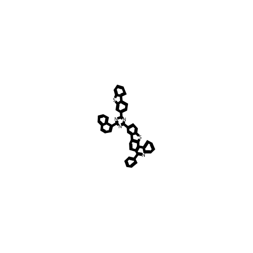 c1ccc(-c2nc3ccccc3c3c2ccc2c4cc(-c5nc(-c6ccc7c(c6)sc6ccccc67)nc(-c6cccc7ccccc67)n5)ccc4sc23)cc1